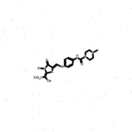 CCOC(=O)C(C#N)=c1sc(=CNc2ccc(NC(=O)N3CCN(C)CC3)cc2)c(=O)n1CC